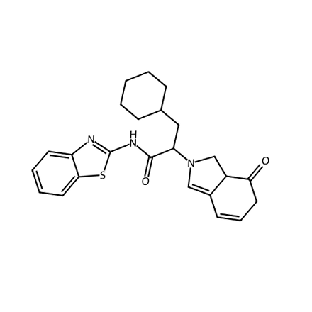 O=C1CC=CC2=CN(C(CC3CCCCC3)C(=O)Nc3nc4ccccc4s3)CC12